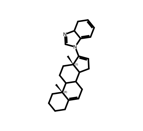 C[C@]12CCCCC1=CCC1C2CC[C@]2(C)C(N3C=NC4CC=CC=C43)=CCC12